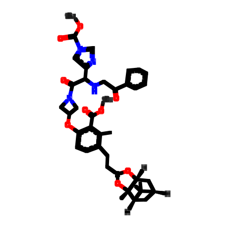 Cc1c(CCB2O[C@@H]3C[C@@H]4C[C@@H](C4(C)C)[C@]3(C)O2)ccc(OC2CN(C(=O)C(NCC(=O)c3ccccc3)c3cn(C(=O)OC(C)(C)C)cn3)C2)c1C(=O)OC(C)(C)C